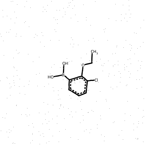 CCOc1c(Cl)cccc1B(O)O